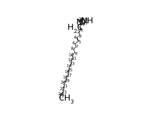 C=CCCC=CCCCCCCCCCCCCCCCCCCCC.c1c[nH]cn1